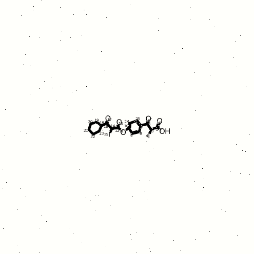 O=C(O)C(I)C(=O)c1ccc(OC(=O)C(I)C(=O)C2CCCCC2)cc1